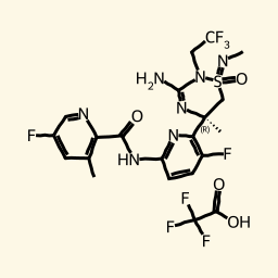 CN=S1(=O)C[C@@](C)(c2nc(NC(=O)c3ncc(F)cc3C)ccc2F)N=C(N)N1CC(F)(F)F.O=C(O)C(F)(F)F